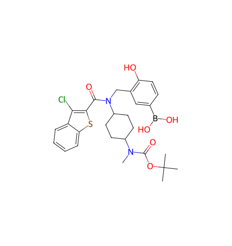 CN(C(=O)OC(C)(C)C)C1CCC(N(Cc2cc(B(O)O)ccc2O)C(=O)c2sc3ccccc3c2Cl)CC1